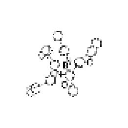 c1ccc(-c2ccc(N3B4c5c(cc6c(oc7ccccc76)c5-n5c6ccc(C78CC9CC(CC(C9)C7)C8)cc6c6cc(C78CC9CC(CC(C9)C7)C8)cc4c65)-c4cc5oc6cc7ccccc7cc6c5cc43)cc2)cc1